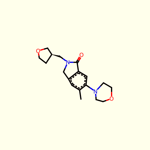 Cc1cc2c(cc1N1CCOCC1)C(=O)N(C[C@H]1CCOC1)C2